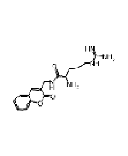 N=C(N)NCCCC(N)C(=O)NCc1cc2ccccc2oc1=O